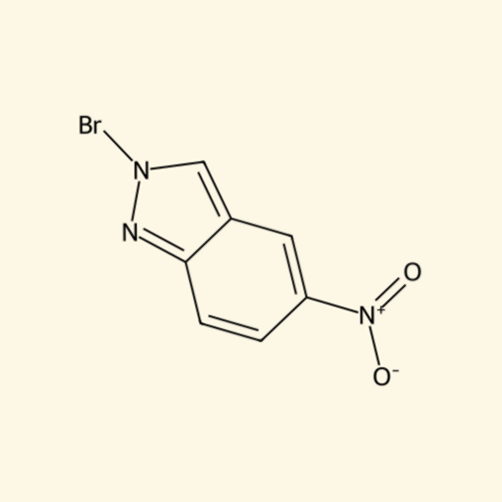 O=[N+]([O-])c1ccc2nn(Br)cc2c1